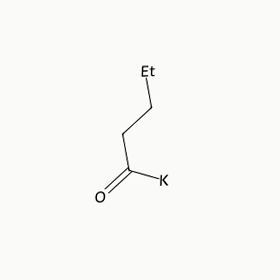 CCCC[C](=O)[K]